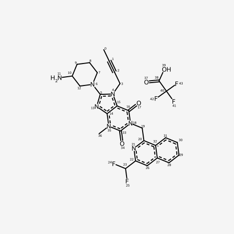 CC#CCn1c(N2CCCC(N)C2)nc2c1c(=O)n(Cc1nc(C(F)F)cc3ccccc13)c(=O)n2C.O=C(O)C(F)(F)F